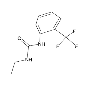 CCNC(=O)Nc1ccccc1C(F)(F)F